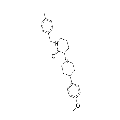 COc1ccc(C2CCN(C3CCCN(Cc4ccc(C)cc4)C3=O)CC2)cc1